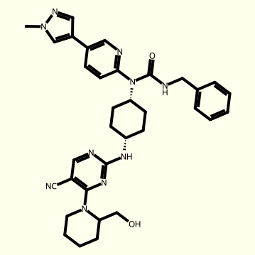 Cn1cc(-c2ccc(N(C(=O)NCc3ccccc3)[C@H]3CC[C@@H](Nc4ncc(C#N)c(N5CCCCC5CO)n4)CC3)nc2)cn1